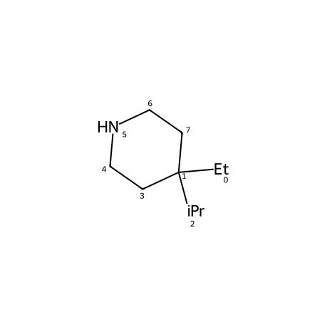 CCC1(C(C)C)CCNCC1